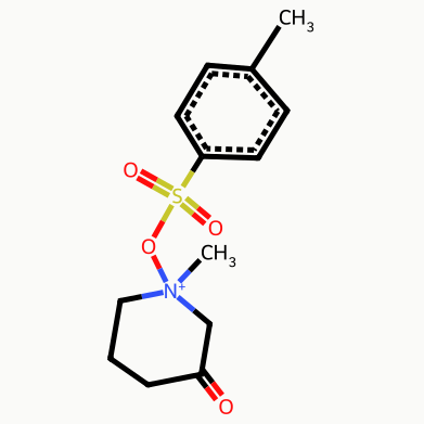 Cc1ccc(S(=O)(=O)O[N+]2(C)CCCC(=O)C2)cc1